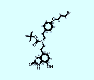 CC(C)(C)OC(=O)N(CCc1ccc(OCCCBr)cc1)CCc1ccc(O)c2[nH]c(=O)sc12